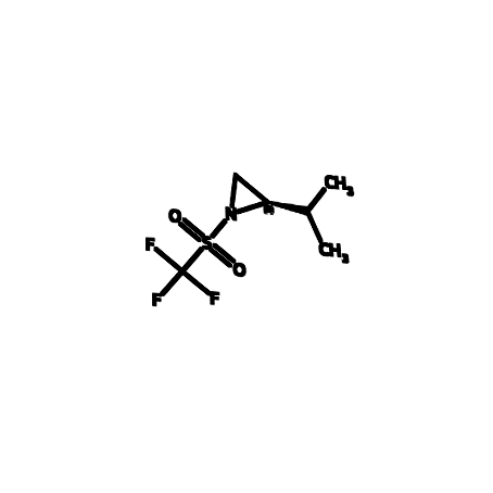 CC(C)[C@@H]1CN1S(=O)(=O)C(F)(F)F